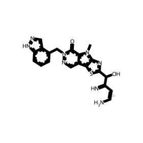 Cn1c2nc(C(O)C(=N)/C=C\N)sc2c2cnn(Cc3cccc4[nH]ncc34)c(=O)c21